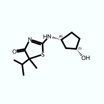 CC(C)C1(C)SC(N[C@@H]2CC[C@H](O)C2)=NC1=O